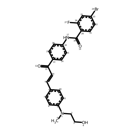 CN(CCO)c1ccc(/C=C/C(=O)c2ccc(NC(=O)c3ccc(Br)cc3F)cc2)cc1